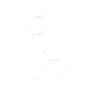 CC(C)(C)N(/N=C/c1cccnc1)C(=O)O